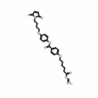 C=COC(=O)CCCCCOc1ccc(C(=O)Oc2ccc(OCCCCN3C(=O)C=CC3=O)cc2)cc1